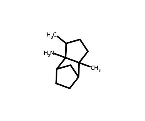 CC1CCC2(C)C3CCC(C3)C12N